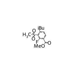 CCC(C)c1ccc(C(=O)OC)c(F)c1S(C)(=O)=O